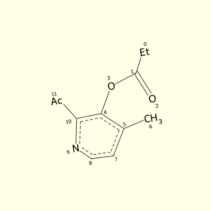 CCC(=O)Oc1c(C)ccnc1C(C)=O